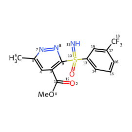 COC(=O)c1cc(C)nnc1S(=N)(=O)c1cccc(C(F)(F)F)c1